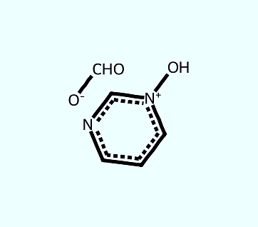 O=C[O-].O[n+]1cccnc1